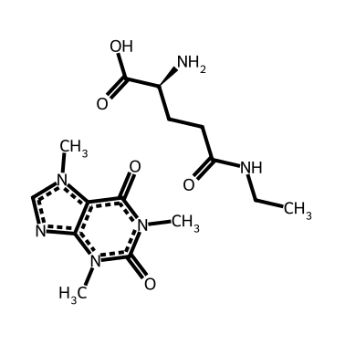 CCNC(=O)CC[C@H](N)C(=O)O.Cn1c(=O)c2c(ncn2C)n(C)c1=O